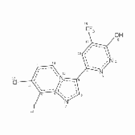 Oc1nnc(-c2cnc3c(I)c(Cl)ccn23)cc1C(F)(F)F